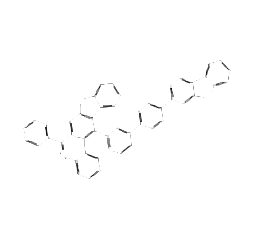 c1ccc(-c2nc3ccccc3c3c(-c4cccc(-c5ccc(-c6ccc7c(c6)sc6ccccc67)cc5)c4)c4c(cc23)oc2ccccc24)cc1